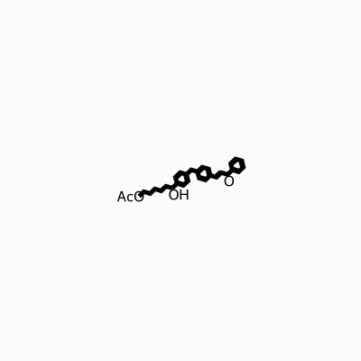 CC(=O)OCCCCCC(O)c1ccc(Cc2ccc(/C=C/C(=O)c3ccccc3)cc2)cc1